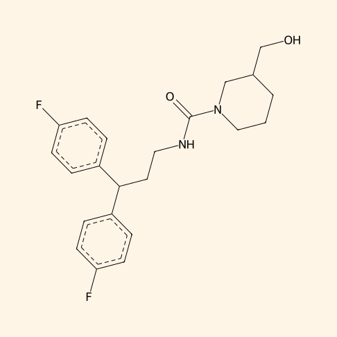 O=C(NCCC(c1ccc(F)cc1)c1ccc(F)cc1)N1CCCC(CO)C1